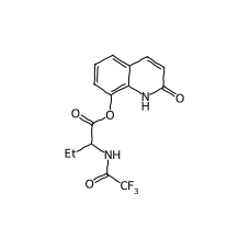 CCC(NC(=O)C(F)(F)F)C(=O)Oc1cccc2ccc(=O)[nH]c12